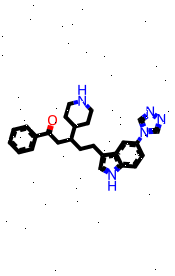 O=C(CC(CCc1c[nH]c2ccc(-n3cnnc3)cc12)C1CCNCC1)c1ccccc1